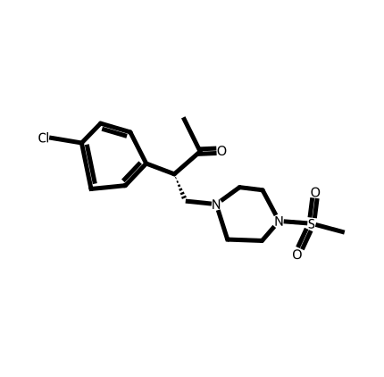 CC(=O)[C@H](CN1CCN(S(C)(=O)=O)CC1)c1ccc(Cl)cc1